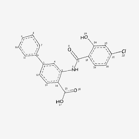 O=C(Nc1cc(-c2ccccc2)ccc1C(=O)O)c1ccc(Cl)cc1O